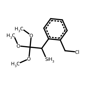 COC(OC)(OC)C([SiH3])c1ccccc1CCl